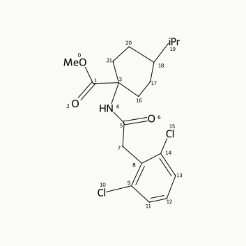 COC(=O)C1(NC(=O)Cc2c(Cl)cccc2Cl)CCC(C(C)C)CC1